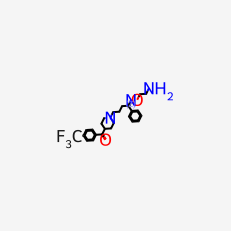 NCCO/N=C(/CCCN1CCC(C(=O)c2ccc(C(F)(F)F)cc2)CC1)c1ccccc1